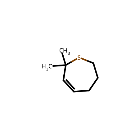 CC1(C)C=CCCCS1